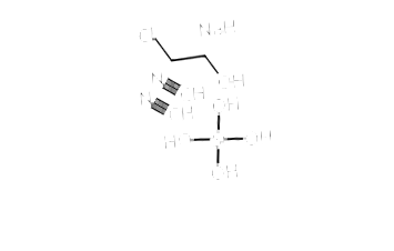 C#N.C#N.OCCCl.O[Si](O)(O)O.[NaH]